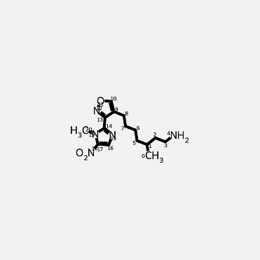 CC(CCN)CCCCc1conc1-c1ncc([N+](=O)[O-])n1C